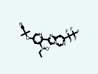 CC[S+]([O-])c1cc(OC(C)(C)C#N)cnc1-c1cn2cnc(C(F)(F)C(F)(F)F)cc2n1